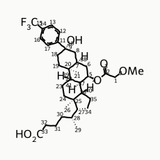 COCC(=O)O[C@@H]1C[C@@H]2C[C@](O)(c3ccc(C(F)(F)F)cc3)CC[C@]2(C)[C@H]2CC[C@]3(C)[C@@H]([C@H](C)CCCC(=O)O)CC[C@H]3[C@H]12